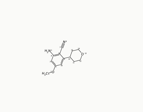 COc1cc(N)c(C#N)c(C2CCOCC2)c1